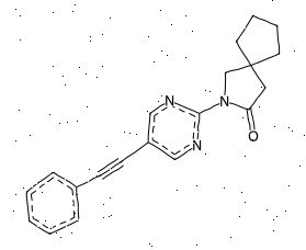 O=C1CC2(CCCC2)CN1c1ncc(C#Cc2ccccc2)cn1